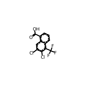 O=C(O)c1cccc2c(C(F)(F)F)c(Cl)c(Cl)cc12